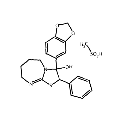 CS(=O)(=O)O.OC1(c2ccc3c(c2)OCO3)C(c2ccccc2)SC2=NCCCCN21